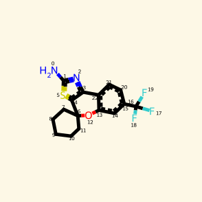 Nc1nc2c(s1)C1(CCCCC1)Oc1cc(C(F)(F)F)ccc1-2